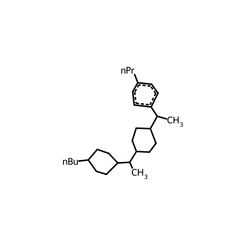 CCCCC1CCC(C(C)C2CCC(C(C)c3ccc(CCC)cc3)CC2)CC1